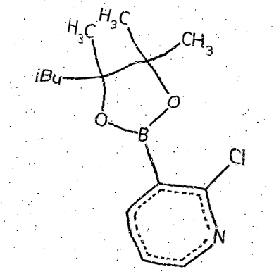 CCC(C)C1(C)OB(c2cccnc2Cl)OC1(C)C